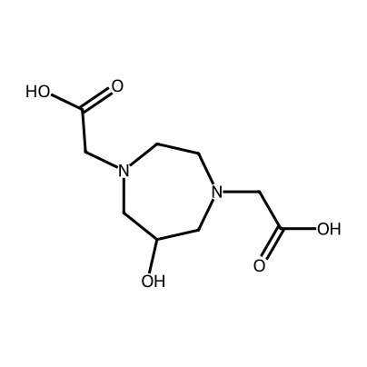 O=C(O)CN1CCN(CC(=O)O)CC(O)C1